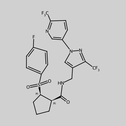 O=C(NCc1cn(-c2ccc(C(F)(F)F)nc2)nc1C(F)(F)F)[C@H]1CCC[C@H]1S(=O)(=O)c1ccc(F)cc1